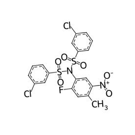 Cc1cc(F)c(N(S(=O)(=O)c2cccc(Cl)c2)S(=O)(=O)c2cccc(Cl)c2)cc1[N+](=O)[O-]